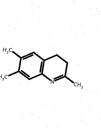 CC1=Nc2cc(C)c(C)cc2CC1